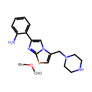 CC(C)(C)OC=O.Nc1ccccc1-c1cn2c(CN3CCNCC3)csc2n1